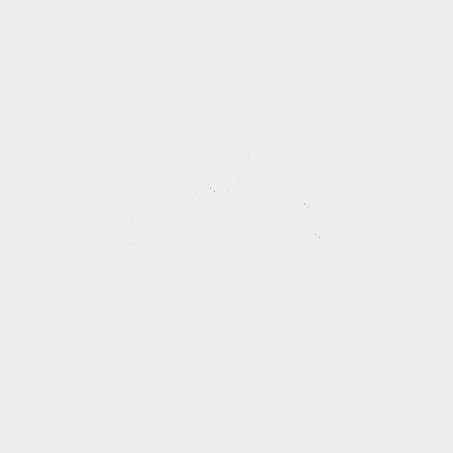 Cc1cc(C=CC(=O)N2CCN(Cc3ccc(CCO)cc3)CC2)cc(Cl)c1Oc1ccc(OCc2ccccc2Cl)cn1